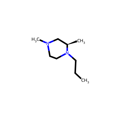 CCCN1CCN(C)C[C@H]1C